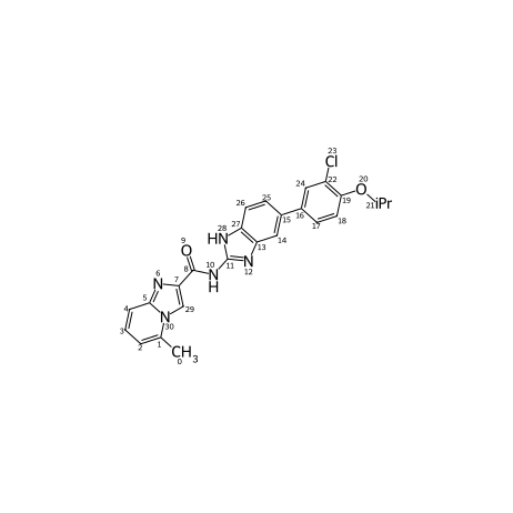 Cc1cccc2nc(C(=O)Nc3nc4cc(-c5ccc(OC(C)C)c(Cl)c5)ccc4[nH]3)cn12